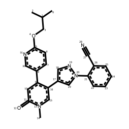 CC(C)COc1ccc(-c2cc(=O)n(C)cc2-c2cnn(-c3ccccc3C#N)c2)cn1